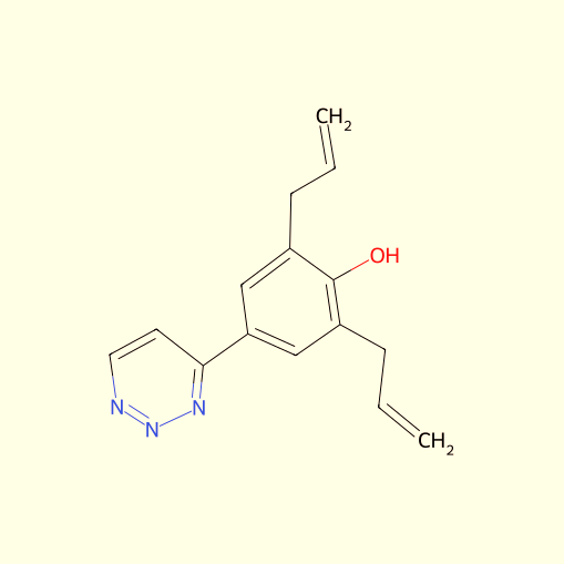 C=CCc1cc(-c2ccnnn2)cc(CC=C)c1O